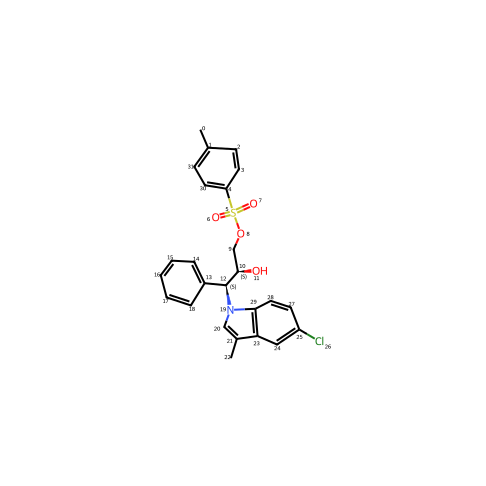 Cc1ccc(S(=O)(=O)OC[C@@H](O)[C@H](c2ccccc2)n2cc(C)c3cc(Cl)ccc32)cc1